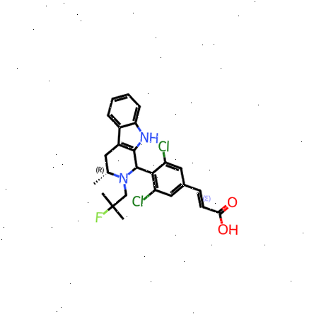 C[C@@H]1Cc2c([nH]c3ccccc23)C(c2c(Cl)cc(/C=C/C(=O)O)cc2Cl)N1CC(C)(C)F